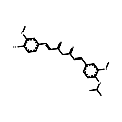 COc1cc(/C=C/C(=O)CC(=O)/C=C/c2ccc(OC(C)C)c(OC)c2)ccc1O